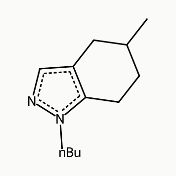 CCCCn1ncc2c1CCC(C)C2